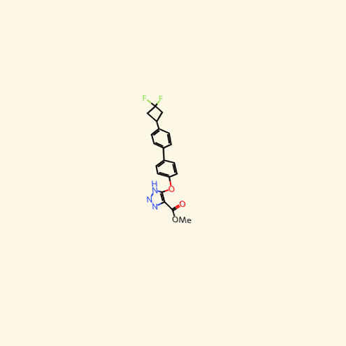 COC(=O)c1nn[nH]c1Oc1ccc(-c2ccc(C3CC(F)(F)C3)cc2)cc1